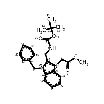 COC(=O)C[n+]1c(CNC(=O)OC(C)(C)C)n(Cc2ccccc2)c2ccccc21